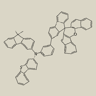 CC1(C)c2ccccc2-c2cc(N(c3cccc(-c4ccc5c(c4)C4(c6ccccc6-5)c5ccc6ccccc6c5Oc5c4ccc4ccccc54)c3)c3ccc4c(c3)sc3ccccc34)ccc21